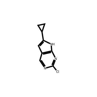 Clc1ncc2cc(C3CC3)[nH]c2n1